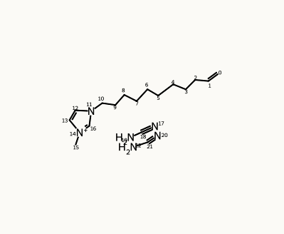 C=CCCCCCCCCCn1cc[n+](C)c1.N#CN.N#CN